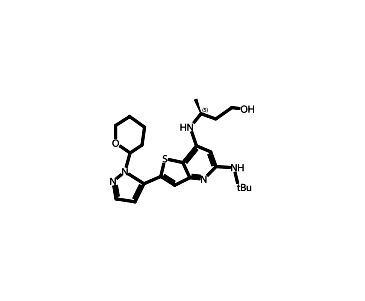 C[C@@H](CCO)Nc1cc(NC(C)(C)C)nc2cc(-c3ccnn3C3CCCCO3)sc12